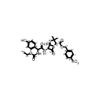 CC1(C)S[C@@H]2[C@H](NC(=O)C(NC(=O)OCI)c3ccc(O)cc3)C(=O)N2[C@H]1C(=O)OCc1ccc([N+](=O)[O-])cc1